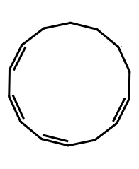 [CH]1CC=CCC=CC=CC=CCCC1